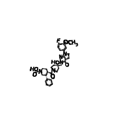 COc1cc(-n2ccc3c(=O)n(CC4(O)CCN(C(=O)[C@@H]5CCN(C(=O)O)C[C@H]5c5ccccc5)CC4)cnc32)ccc1F